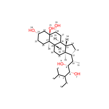 CCC(C(C)C)[C@@H](O)[C@H](O)[C@@H](C)[C@H]1CC[C@H]2[C@@H]3C[C@@H](O)[C@@]4(O)C[C@@H](O)CC[C@]4(C)[C@H]3CC[C@]12C